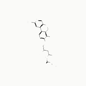 CC(COc1ccc2c(c1F)COc1cnc(Br)cc1-2)CC(C)NC(=O)OC(C)(C)C